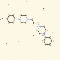 c1ccc(N2CCN(CCCN3CCN(c4ccccc4)CC3)CC2)cc1